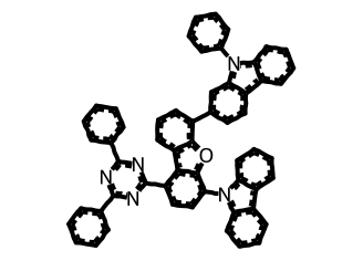 c1ccc(-c2nc(-c3ccccc3)nc(-c3ccc(-n4c5ccccc5c5ccccc54)c4oc5c(-c6ccc7c8ccccc8n(-c8ccccc8)c7c6)cccc5c34)n2)cc1